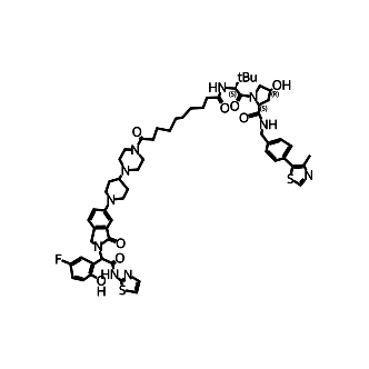 Cc1ncsc1-c1ccc(CNC(=O)[C@@H]2C[C@@H](O)CN2C(=O)[C@@H](NC(=O)CCCCCCCCC(=O)N2CCN(C3CCN(c4ccc5c(c4)C(=O)N(C(C(=O)Nc4nccs4)c4cc(F)ccc4O)C5)CC3)CC2)C(C)(C)C)cc1